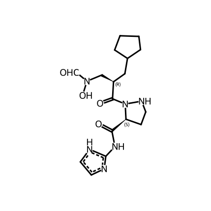 O=CN(O)C[C@@H](CC1CCCC1)C(=O)N1NCC[C@H]1C(=O)Nc1ncc[nH]1